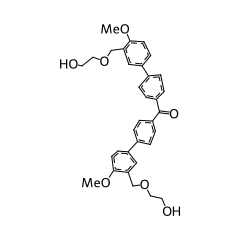 COc1ccc(-c2ccc(C(=O)c3ccc(-c4ccc(OC)c(COCCO)c4)cc3)cc2)cc1COCCO